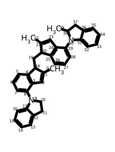 CC1=Cc2c(cccc2N2CCc3ccccc32)C1CC1C(C)=Cc2c1cccc2N1c2ccccc2CC1C